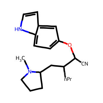 CCCC(CC1CCCN1C)C(C#N)Oc1ccc2[nH]ccc2c1